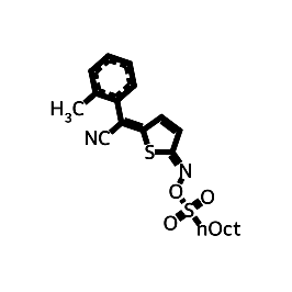 CCCCCCCCS(=O)(=O)ON=C1C=C/C(=C(/C#N)c2ccccc2C)S1